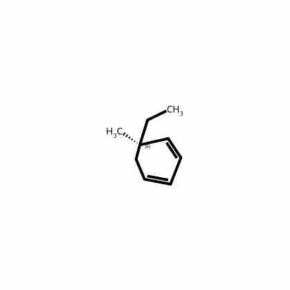 CC[C@@]1(C)C=CC=CC1